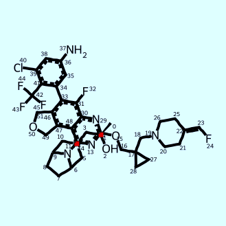 C[C@@H](O)CN1CC2CCC(C1)N2c1nc(OCC2(CN3CCC(=CF)CC3)CC2)nc2c(F)c(-c3cc(N)cc(Cl)c3C(F)(F)F)c3c(c12)COC3